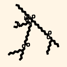 CCCCCCCCNC(=O)C(CCCCCCCCC(=O)OCC(CCCC)CCCCCC)N(CCCCCCCCC(=O)OCC(CCCC)CCCCCC)C(=O)CCCN(CC)CC